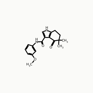 COc1cccc(NC(=O)c2c[nH]c3c2C(=O)C(C)(C)CC3)c1